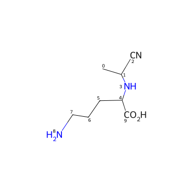 CC(C#N)NC(CCCN)C(=O)O